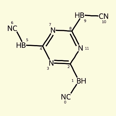 N#CBc1nc(BC#N)nc(BC#N)n1